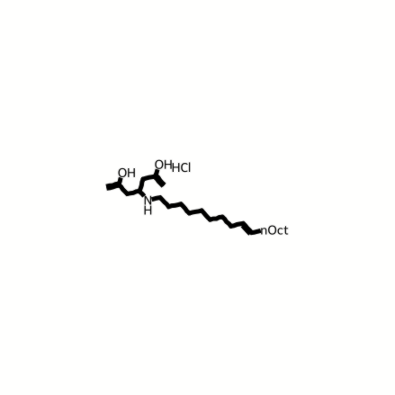 C=C(O)CC(CC(=C)O)NCCCCCCCCC=CCCCCCCCC.Cl